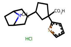 CN1C2CCC1CC(C1CCC(C(=O)O)(c3cccs3)C1)C2.Cl